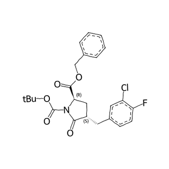 CC(C)(C)OC(=O)N1C(=O)[C@@H](Cc2ccc(F)c(Cl)c2)C[C@@H]1C(=O)OCc1ccccc1